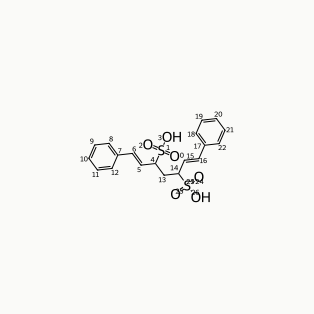 O=S(=O)(O)C(/C=C/c1ccccc1)CC(/C=C/c1ccccc1)S(=O)(=O)O